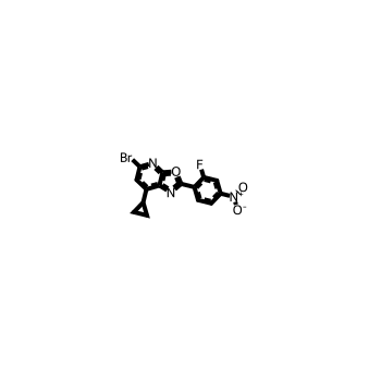 O=[N+]([O-])c1ccc(-c2nc3c(C4CC4)cc(Br)nc3o2)c(F)c1